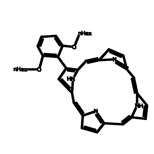 CCCCCCOc1cccc(OCCCCCC)c1-c1cc2cc3nc(cc4ccc(cc5nc(cc1[nH]2)C=C5)[nH]4)C=C3